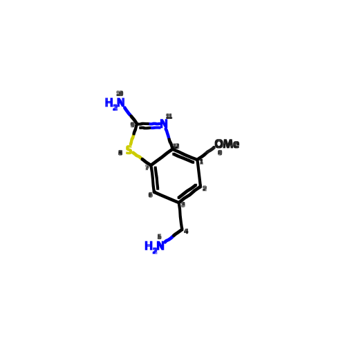 COc1cc(CN)cc2sc(N)nc12